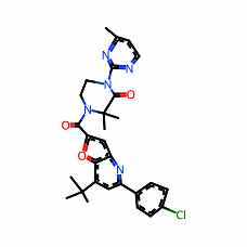 Cc1ccnc(N2CCN(C(=O)c3cc4nc(-c5ccc(Cl)cc5)cc(C(C)(C)C)c4o3)C(C)(C)C2=O)n1